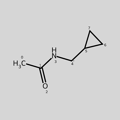 CC(=O)N[CH]C1CC1